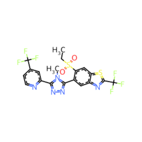 CCS(=O)(=O)c1cc2sc(C(F)(F)F)nc2cc1-c1nnc(-c2cc(C(F)(F)F)ccn2)n1C